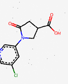 O=C(O)C1CC(=O)N(c2cncc(Cl)c2)C1